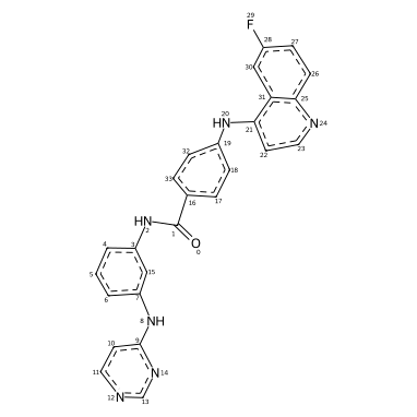 O=C(Nc1cccc(Nc2ccncn2)c1)c1ccc(Nc2ccnc3ccc(F)cc23)cc1